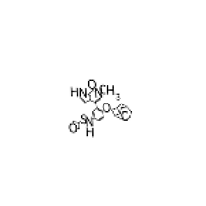 Cn1cc(-c2cc(NSC3COC3)ccc2OC2C3CC4CC5CC2C3(C4)C5)c2cc[nH]c2c1=O